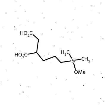 CO[Si](C)(C)CCCC(CC(=O)O)C(=O)O